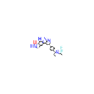 CCCN(CC(F)F)C(CC)c1ccc(-c2cnc(N)c(-c3ccc4c(c3)CCNC4=O)c2)cc1